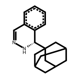 C1=NN[C@@H](C23CC4CC(CC(C4)C2)C3)c2ccccc21